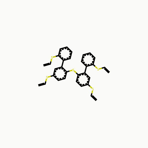 C=CSc1ccc(Sc2ccc(SC=C)cc2-c2ccccc2SC=C)c(-c2ccccc2SC=C)c1